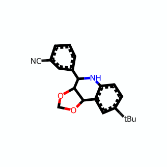 CC(C)(C)c1ccc2c(c1)C1OCOC1C(c1cccc(C#N)c1)N2